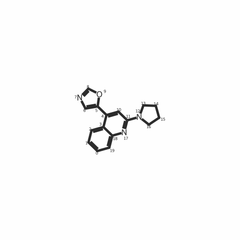 c1ccc2c(-c3cnco3)cc(N3CCCC3)nc2c1